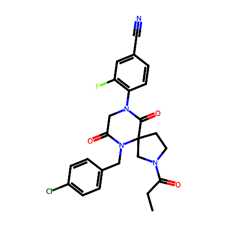 CCC(=O)N1CCC2(C1)C(=O)N(c1ccc(C#N)cc1F)CC(=O)N2Cc1ccc(Cl)cc1